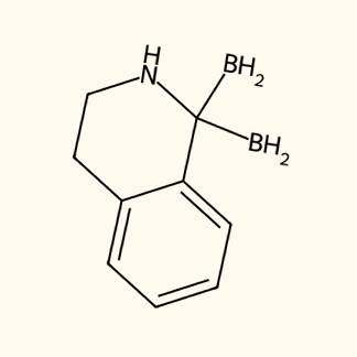 BC1(B)NCCc2ccccc21